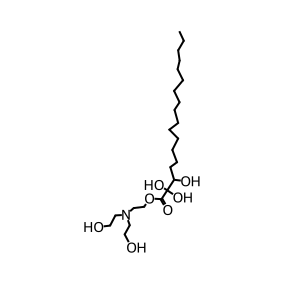 CCCCCCCCCCCCCCCC(O)C(O)(O)C(=O)OCCN(CCO)CCO